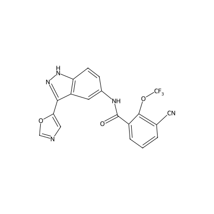 N#Cc1cccc(C(=O)Nc2ccc3[nH]nc(-c4cnco4)c3c2)c1OC(F)(F)F